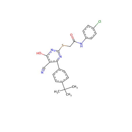 CC(C)(C)c1ccc(-c2nc(SCC(=O)Nc3ccc(Cl)cc3)nc(O)c2C#N)cc1